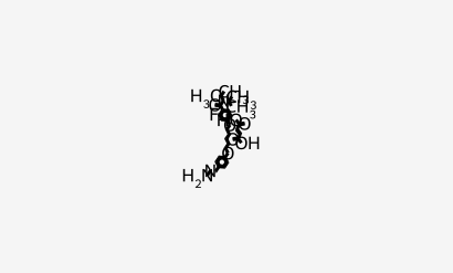 CC(C)N(C(=O)c1ccc(OCCCCCOc2ccc(C=NN)cc2)cc1F)C(C)C.O=C(O)C=CC(=O)O